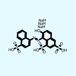 O=S(=O)(O)c1cc(S(=O)(=O)O)c2c(N=Nc3ccc(S(=O)(=O)O)c4ccccc34)c(O)ccc2c1.[NaH].[NaH].[NaH]